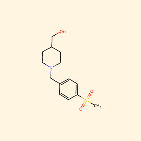 CS(=O)(=O)c1ccc(CN2CCC(CO)CC2)cc1